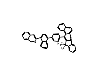 CC1(C)c2ccccc2-c2nc3ccc4ccccc4c3c(-c3ccc(-c4ccc(-c5cc6ccccc6cn5)c5ccccc45)cc3)c21